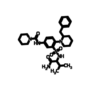 CC(C)C(NS(=O)(=O)c1cc(NC(=O)N2CCCCC2)ccc1N1CCCCC1Cc1ccccc1)C(N)=O